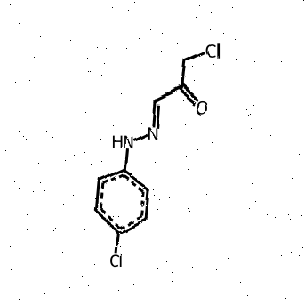 O=C(C=NNc1ccc(Cl)cc1)CCl